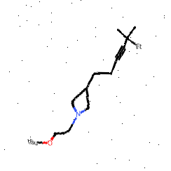 CCC(C)(C)C#CCCC1CN(CCOC(C)(C)C)C1